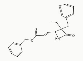 CCC1(Sc2ccccc2)C(=O)NC1C=CC(=O)OCc1ccccc1